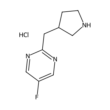 Cl.Fc1cnc(CC2CCNC2)nc1